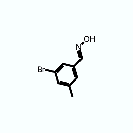 Cc1cc(Br)cc(/C=N/O)c1